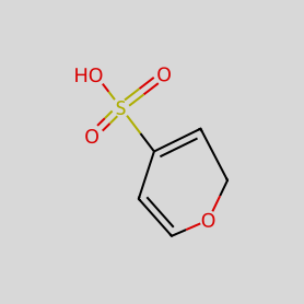 O=S(=O)(O)C1=CCOC=C1